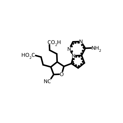 N#CC1OC(c2ccc3c(N)ncnn23)C(CCC(=O)O)C1CCC(=O)O